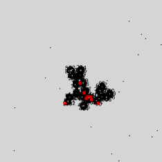 C1=Cc2ccc(-c3cc(-c4ccc(-n5c6ccc7c(c6c6c8ccccc8cc(-c8ccc(-c9ccc(C%10N=C(c%11ccccc%11)C=C(c%11cccc(-n%12c%13ccc%14ccccc%14c%13c%13c%14ccccc%14ccc%13%12)c%11)N%10)cc9)cc8)c65)CCC=C7)cc4)nc(-c4ccc5ccccc5c4)n3)cc2CC1